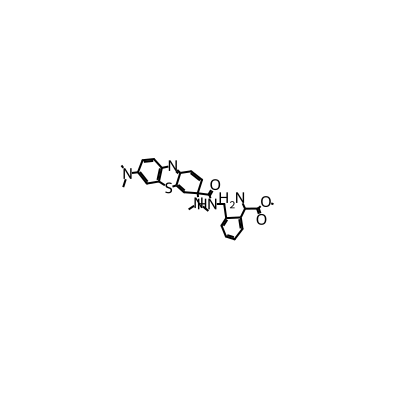 COC(=O)C(N)c1ccccc1CNC(=O)C1(N(C)C)C=CC2=Nc3ccc(N(C)C)cc3SC2=C1